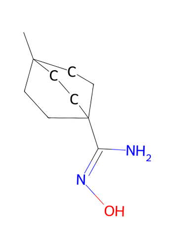 CC12CCC(/C(N)=N/O)(CC1)CC2